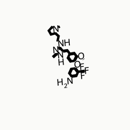 C=c1nc(NCCC2CCCN2C)/c(=C/c2ccc(Oc3ccc(N)cc3C(F)(F)F)c(OC)c2)[nH]1